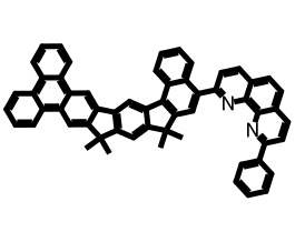 CC1(C)c2cc3c(cc2-c2cc4c5ccccc5c5ccccc5c4cc21)-c1c(cc(-c2ccc4ccc5ccc(-c6ccccc6)nc5c4n2)c2ccccc12)C3(C)C